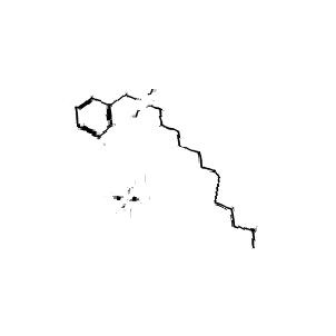 CCCCCCCCCCCC[N+](C)(C)Cc1ccccc1.O=S(=O)(O)O